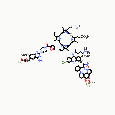 C=CC1=C(C)c2cc3[nH]c(cc4nc(cc5[nH]c(cc1n2)c(C)c5CCC(=O)O)C(CCC(=O)O)=C4C)c(C)c3C=C.CCN(CC)CCCC(C)Nc1c2ccc(Cl)cc2nc2ccc(OC)cc12.COc1cc2nc(N3CCN(C(=O)c4ccco4)CC3)nc(N)c2cc1OC.Cl.Cl.Cl.N#Cc1c(-c2ccccc2)no[n+]1[O-].O.O.O.[Na+].[Na+].c1cnc2c(c1)ccc1cccnc12